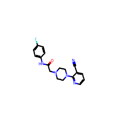 N#Cc1cccnc1N1CCN(CC(=O)Nc2ccc(F)cc2)CC1